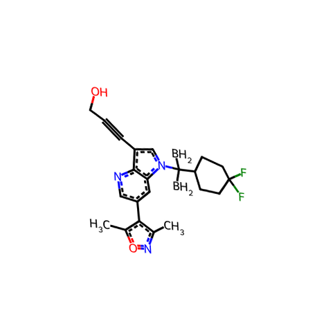 BC(B)(C1CCC(F)(F)CC1)n1cc(C#CCO)c2ncc(-c3c(C)noc3C)cc21